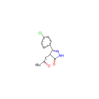 CC(C)(C)C(=O)CC1C(=O)NN=C1c1ccc(Cl)cc1